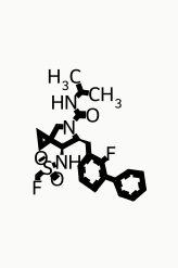 CC(C)NC(=O)N1CC2(CC2)[C@H](NS(=O)(=O)CF)[C@@H]1Cc1cccc(-c2ccccc2)c1F